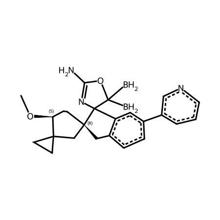 BC1(B)OC(N)=NC12c1cc(-c3cccnc3)ccc1C[C@@]21CC[C@H](OC)C2(CC2)C1